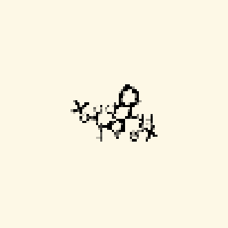 CC(C)(C)OC(=O)Nc1ncc(C(N[S+]([O-])C(C)(C)C)c2ccccc2Cl)s1